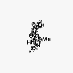 COc1cnc(C2C=CC(C)=C2)c2[nH]cc(C(=O)C(=O)N3CCN(C(=O)c4ccccc4)CC3)c12